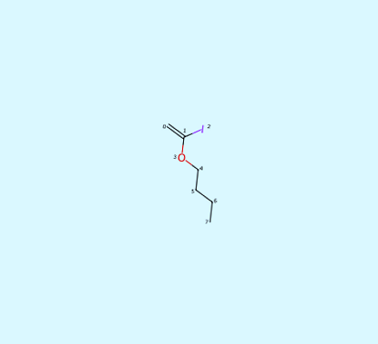 C=C(I)OCCCC